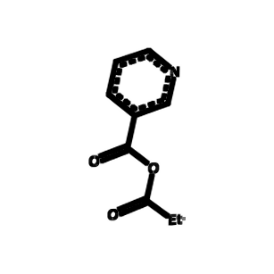 C[CH]C(=O)OC(=O)c1cccnc1